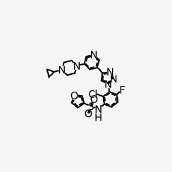 O=S(=O)(Nc1ccc(F)c(-n2cc(-c3cncc(N4CCN(C5CC5)CC4)c3)nn2)c1Cl)c1ccoc1